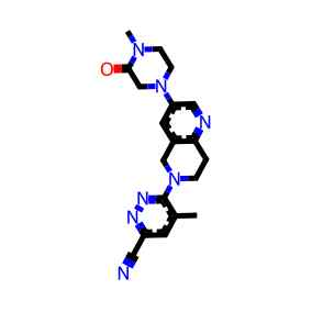 Cc1cc(C#N)nnc1N1CCc2ncc(N3CCN(C)C(=O)C3)cc2C1